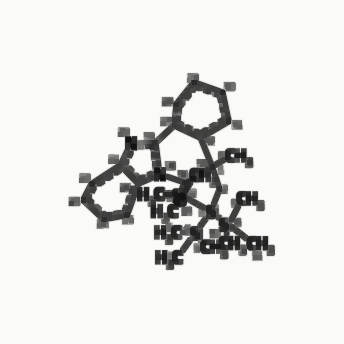 CC1(C[Si]([Si](C)(C)C)([Si](C)(C)C)[Si](C)(C)C)C(=O)n2c(nc3ccccc32)-c2ccccc21